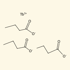 CCCC(=O)[O-].CCCC(=O)[O-].CCCC(=O)[O-].[Tb+3]